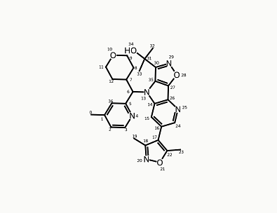 Cc1ccnc(C(C2CCOCC2)n2c3cc(-c4c(C)noc4C)cnc3c3onc(C(C)(C)O)c32)c1